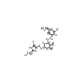 CCO[C@@H]1C[C@H](CCc2cc(F)c(F)c(CCc3cc(C)cc(N)n3)c2)N(C)C1